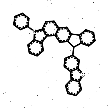 c1ccc(-n2c3ccccc3c3c4cc5c(cc4ccc32)-c2ccccc2C5c2ccc3c(c2)oc2ccccc23)cc1